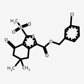 CC1(C)CC(=O)c2c(S(C)(=O)=O)sc(C(=O)OCc3cccc(Cl)c3)c2C1